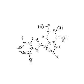 CC(=O)N[C@H]1[C@H](Oc2ccc(C(C)=O)c([N+](=O)[O-])c2)O[C@H](CO)[C@@H](O)[C@@H]1O